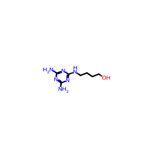 Nc1nc(N)nc(NCCCCO)n1